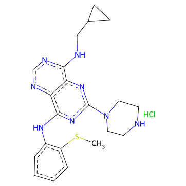 CSc1ccccc1Nc1nc(N2CCNCC2)nc2c(NCC3CC3)ncnc12.Cl